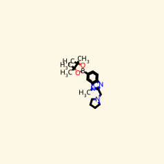 Cn1c(CN2CCCC2)nc2ccc(B3OC(C)(C)C(C)(C)O3)cc21